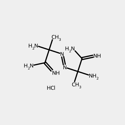 CC(N)(N=NC(C)(N)C(=N)N)C(=N)N.Cl